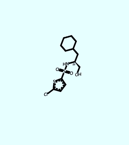 O=S(=O)(N[C@H](CO)CC1CCCCC1)c1ccc(Cl)s1